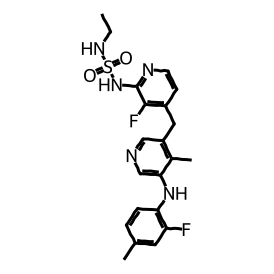 CCNS(=O)(=O)Nc1nccc(Cc2cncc(Nc3ccc(C)cc3F)c2C)c1F